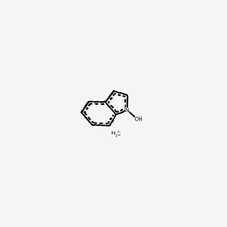 O.On1ccc2ccccc21